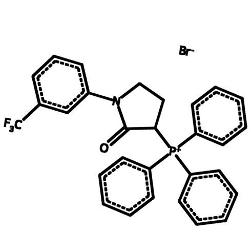 O=C1C([P+](c2ccccc2)(c2ccccc2)c2ccccc2)CCN1c1cccc(C(F)(F)F)c1.[Br-]